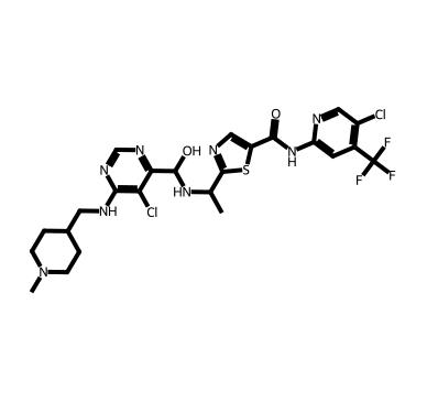 CC(NC(O)c1ncnc(NCC2CCN(C)CC2)c1Cl)c1ncc(C(=O)Nc2cc(C(F)(F)F)c(Cl)cn2)s1